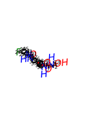 CC(C)(O)CNC(=O)C(=O)NC12CCC(c3ccc(NC(=O)N4Cc5ccc(F)cc5C4)cc3)(CC1)CC2